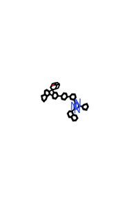 c1ccc(-c2nc(-c3cccc(-c4ccc(-c5ccc6c(c5)C5(c7ccc8ccccc8c7-6)C6CC7CC(C6)CC5C7)cc4)c3)nc(-c3cccc4ccccc34)n2)cc1